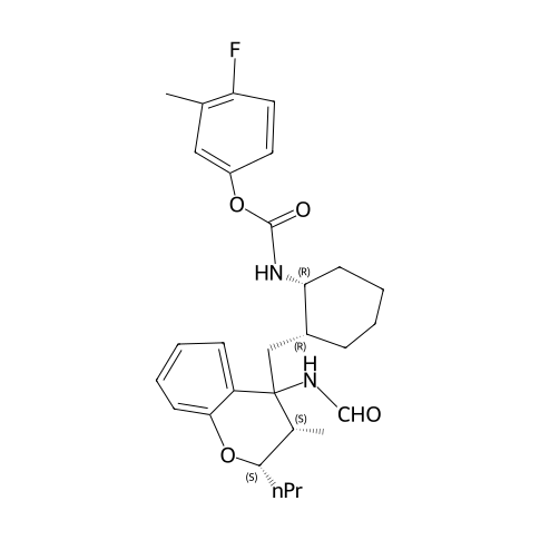 CCC[C@@H]1Oc2ccccc2C(C[C@H]2CCCC[C@H]2NC(=O)Oc2ccc(F)c(C)c2)(NC=O)[C@@H]1C